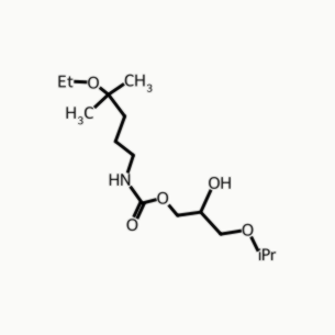 CCOC(C)(C)CCCNC(=O)OCC(O)COC(C)C